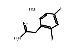 Cl.N=C(N)Cc1ccc(F)cc1F